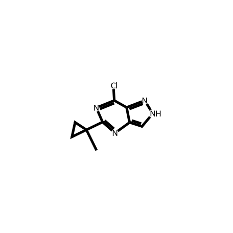 CC1(c2nc(Cl)c3n[nH]cc3n2)CC1